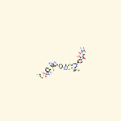 C[C@@H]1CN(c2ccc3c(c2)C(=O)N(C2CCC(=O)NC2=O)C3=O)C[C@H](C)N1CC1CCN(c2ccc(-c3cnc4[nH]cc(C(=O)c5c(F)ccc(NS(=O)(=O)N6CC[C@@H](F)C6)c5F)c4c3)cc2)CC1